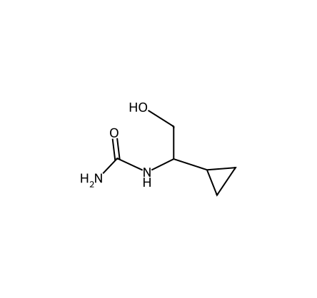 NC(=O)NC(CO)C1CC1